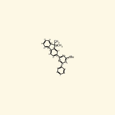 CC(C)(C)c1nc(-c2ccccc2)nc(-c2ccc3c(c2)C(C)(C)c2ccccc2-3)n1